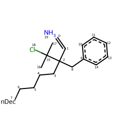 C=CC(CCCCCCCCCCCCCC)(Cc1ccccc1)C(C)(C)Cl.N